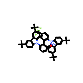 CC(C)(C)c1ccc2c(c1)c1cc(C(C)(C)C)ccc1n2-c1ccc(C(F)(F)F)cc1-c1c(C#N)cccc1-n1c2ccc(C(C)(C)C)cc2c2cc(C(C)(C)C)ccc21